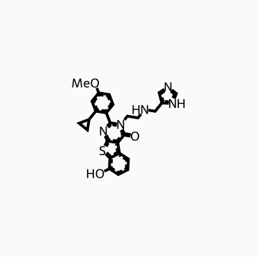 COc1ccc(-c2nc3sc4c(O)cccc4c3c(=O)n2CCNCc2cnc[nH]2)c(C2CC2)c1